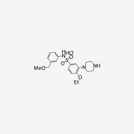 CCOc1ccc(S(=O)(=O)Nc2cccc(COC)c2)cc1N1CCNCC1.Cl